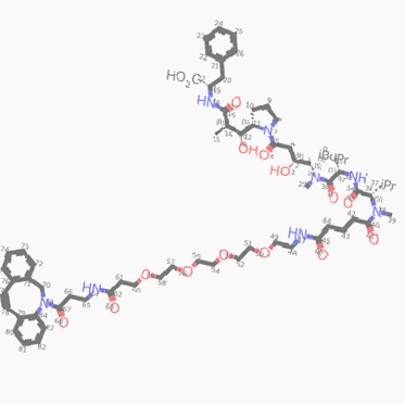 CC[C@H](C)[C@@H]([C@H](O)CC(=O)N1CCC[C@H]1[C@H](O)[C@@H](C)C(=O)N[C@@H](Cc1ccccc1)C(=O)O)N(C)C(=O)[C@@H](NC(=O)[C@H](C(C)C)N(C)C(=O)CCCC(=O)NCCOCCOCCOCCOCCC(=O)NCCC(=O)N1Cc2ccccc2C#Cc2ccccc21)C(C)C